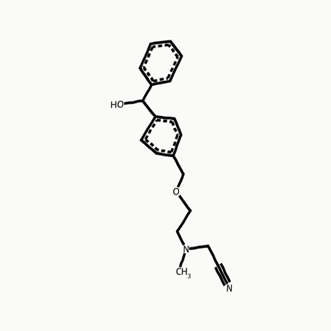 CN(CC#N)CCOCc1ccc(C(O)c2ccccc2)cc1